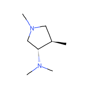 C[C@@H]1CN(C)C[C@H]1N(C)C